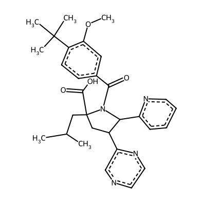 COc1cc(C(=O)N2C(c3ccccn3)C(c3cnccn3)CC2(CC(C)C)C(=O)O)ccc1C(C)(C)C